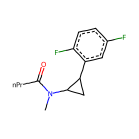 CCCC(=O)N(C)C1CC1c1cc(F)ccc1F